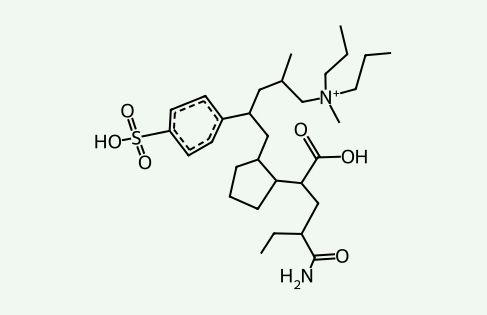 CCC[N+](C)(CCC)CC(C)CC(CC1CCCC1C(CC(CC)C(N)=O)C(=O)O)c1ccc(S(=O)(=O)O)cc1